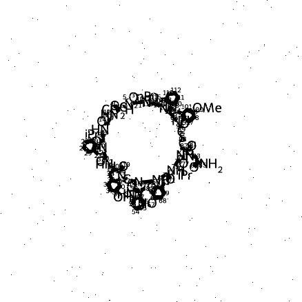 CCCC[C@H]1C(=O)N(C)CC(=O)N[C@@H](CC(=O)O)C(=O)N[C@@H](C(C)C)C(=O)N(C)[C@@H](Cc2ccccc2)C(=O)N[C@H]2Cc3ccc(O)cc3N(CC(=O)N[C@@H](Cc3c[nH]c4ccccc34)C(=O)N[C@@H](Cc3ccc(O)cc3)C(=O)N[C@@H](CC(C)C)C(=O)N[C@H](C(=O)NCC(N)=O)CSCC(=O)N[C@@H](Cc3cccc(OC)c3)C(=O)N(C)[C@@H](Cc3ccccc3)C(=O)N1C)C2=O